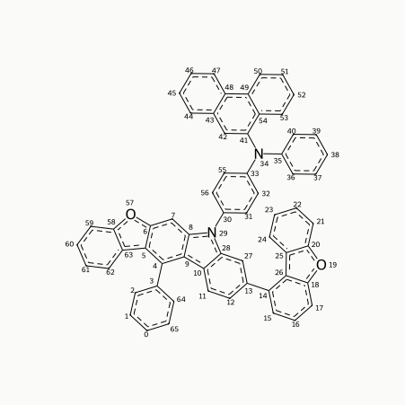 c1ccc(-c2c3c(cc4c2c2ccc(-c5cccc6oc7ccccc7c56)cc2n4-c2ccc(N(c4ccccc4)c4cc5ccccc5c5ccccc45)cc2)oc2ccccc23)cc1